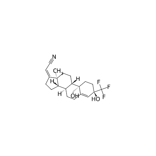 C[C@]12CC[C@H]3[C@@H](CCC4=C[C@@](O)(C(F)(F)F)CC[C@@]43CO)[C@@H]1CC/C2=C/C#N